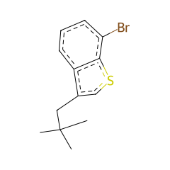 CC(C)(C)Cc1csc2c(Br)cccc12